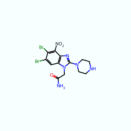 NC(=O)Cn1c(N2CCNCC2)nc2c([N+](=O)[O-])c(Br)c(Br)cc21